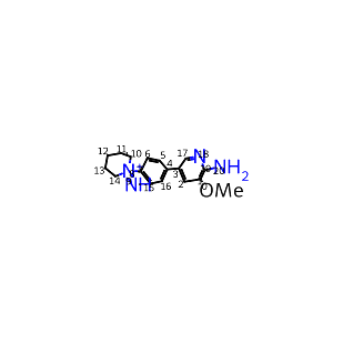 COc1cc(-c2ccc([N+]3([NH])C[CH]CCC3)cc2)cnc1N